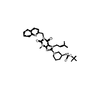 CC(C)=CCn1c(N2CCCC(NC(=O)OC(C)(C)C)C2)nc2c1c(=O)n(Cc1ccc3ccccc3n1)c(=O)n2C